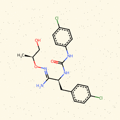 C[C@@H](CO)O/N=C(\N)[C@H](Cc1ccc(Cl)cc1)NC(=O)Nc1ccc(Cl)cc1